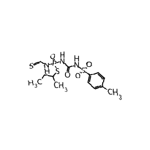 CCC(C)SP(=O)(NC=S)NC(=O)NS(=O)(=O)c1ccc(C)cc1